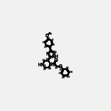 COc1ccc(-c2n[nH]c(C3CNCCN3C(=O)COc3ccccc3)n2)cc1